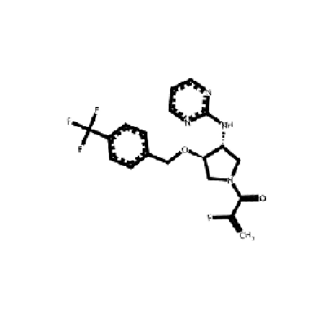 C=C(F)C(=O)N1C[C@@H](Nc2ncccn2)[C@H](OCc2ccc(C(F)(F)F)cc2)C1